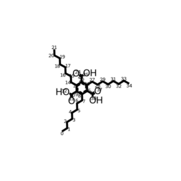 CCCCCCCCc1c(C(=O)O)c(CCCCCCCC)c(C(=O)O)c(CCCCCCCC)c1C(=O)O